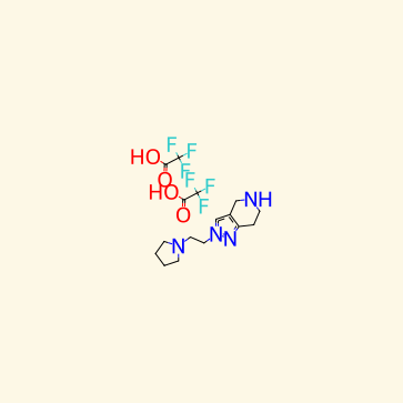 O=C(O)C(F)(F)F.O=C(O)C(F)(F)F.c1c2c(nn1CCN1CCCC1)CCNC2